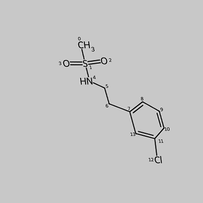 CS(=O)(=O)NCCc1cccc(Cl)c1